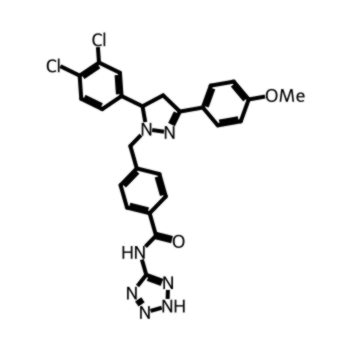 COc1ccc(C2=NN(Cc3ccc(C(=O)Nc4nn[nH]n4)cc3)C(c3ccc(Cl)c(Cl)c3)C2)cc1